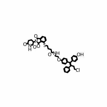 O=C(CCCSc1cccc2c1C(=O)N(C1CCC(=O)NC1=O)C2=O)NCCOc1ccc(/C(=C(/CCCl)c2ccccc2)c2ccc(O)cc2)cc1